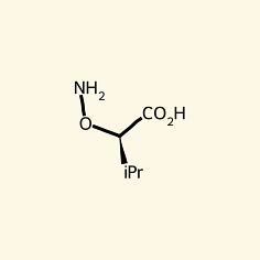 CC(C)[C@@H](ON)C(=O)O